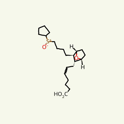 O=C(O)CCC/C=C\C[C@@H]1[C@@H](CCCC[S+]([O-])C2CCCC2)[C@@H]2CC[C@H]1O2